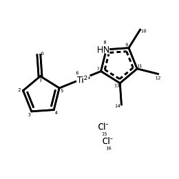 C=C1C=CC=[C]1[Ti+2][c]1[nH]c(C)c(C)c1C.[Cl-].[Cl-]